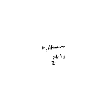 [AlH3].[CH3][AlH2].[Zr]